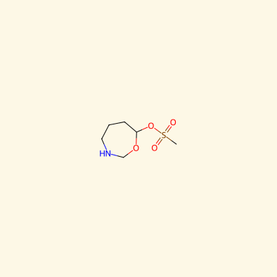 CS(=O)(=O)OC1CCCNCO1